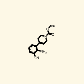 CC(C)(C)OC(=O)N1CC=C(c2cccc(C#N)c2N)CC1